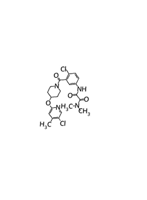 Cc1cc(OC2CCN(C(=O)c3cc(NC(=O)C(=O)N(C)C)ccc3Cl)CC2)ncc1Cl